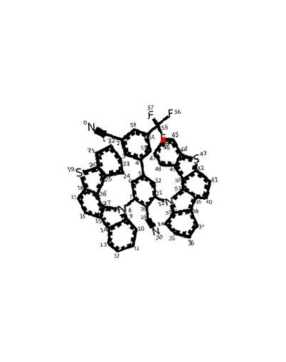 N#Cc1cc(-c2cc(-n3c4ccccc4c4ccc5sc6ccccc6c5c43)c(C#N)c(-n3c4ccccc4c4ccc5sc6ccccc6c5c43)c2)cc(C(F)(F)F)c1